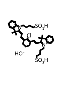 CC1(C)C(=CC=C2CCCC(C=CC3=[N+](CCCCS(=O)(=O)O)c4ccccc4C3(C)C)=C2Cl)N(CCCCS(=O)(=O)O)c2ccccc21.[OH-]